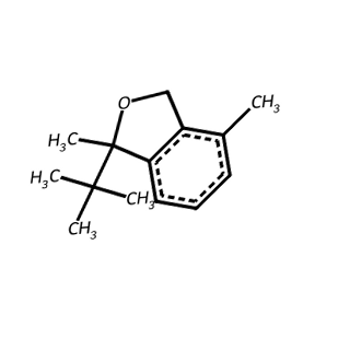 Cc1cccc2c1COC2(C)C(C)(C)C